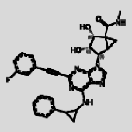 CNC(=O)C12CC1[C@@H](n1cnc3c(NC4CC4c4ccccc4)nc(C#Cc4cccc(F)c4)nc31)[C@H](O)[C@@H]2O